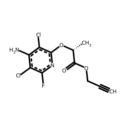 C#CCOC(=O)[C@@H](C)Oc1nc(F)c(Cl)c(N)c1Cl